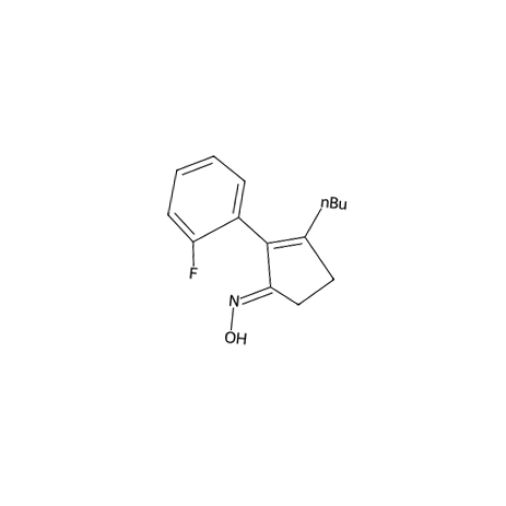 CCCCC1=C(c2ccccc2F)C(=NO)CC1